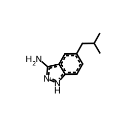 CC(C)Cc1ccc2[nH]nc(N)c2c1